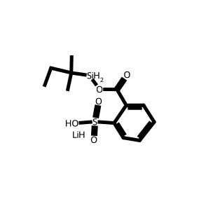 CCC(C)(C)[SiH2]OC(=O)c1ccccc1S(=O)(=O)O.[LiH]